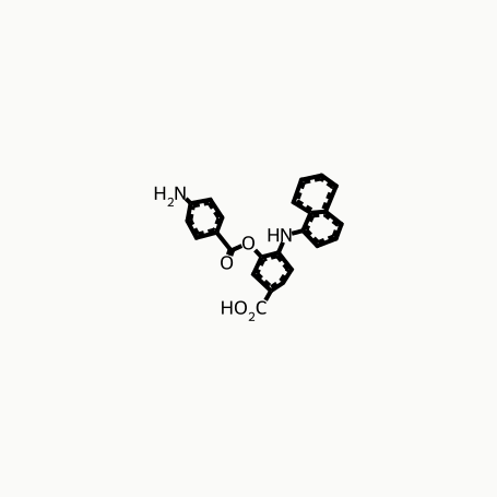 Nc1ccc(C(=O)Oc2cc(C(=O)O)ccc2Nc2cccc3ccccc23)cc1